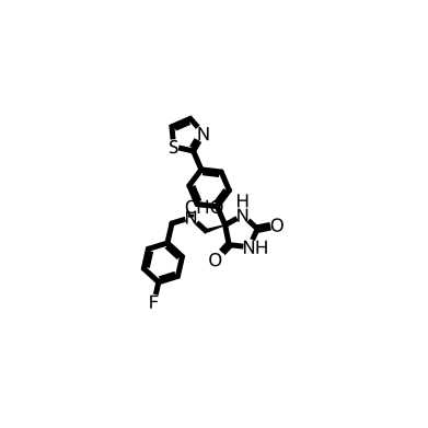 O=CN(Cc1ccc(F)cc1)C[C@@]1(c2ccc(-c3nccs3)cc2)NC(=O)NC1=O